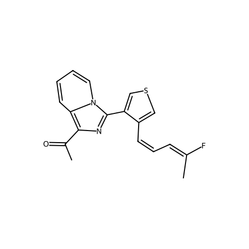 CC(=O)c1nc(-c2cscc2/C=C\C=C(/C)F)n2ccccc12